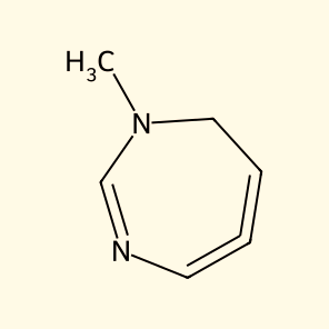 CN1C=NC=C=CC1